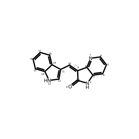 O=C1Nc2cccnc2/C1=C/c1c[nH]c2ccccc12